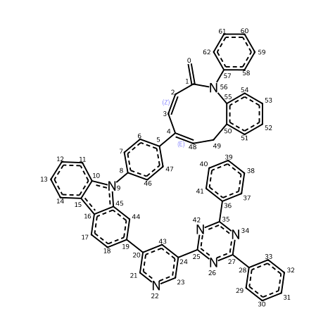 C=C1/C=C\C(c2ccc(-n3c4ccccc4c4ccc(-c5cncc(-c6nc(-c7ccccc7)nc(-c7ccccc7)n6)c5)cc43)cc2)=C/Cc2ccccc2N1c1ccccc1